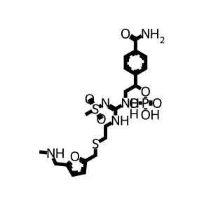 CNCc1ccc(CSCCNC(=NS(C)(=O)=O)NCC(OP(=O)(O)O)c2ccc(C(N)=O)cc2)o1